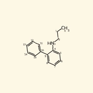 CCCNc1ccccc1-c1cc[c]cc1